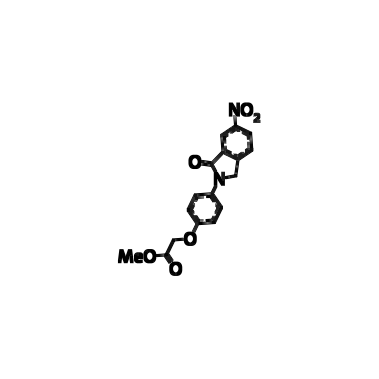 COC(=O)COc1ccc(N2Cc3ccc([N+](=O)[O-])cc3C2=O)cc1